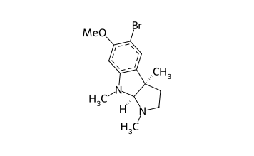 COc1cc2c(cc1Br)[C@@]1(C)CCN(C)[C@H]1N2C